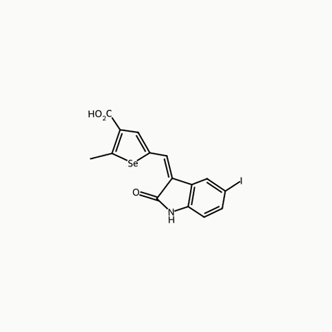 Cc1[se]c(C=C2C(=O)Nc3ccc(I)cc32)cc1C(=O)O